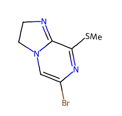 CSC1=NC(Br)=CN2CCN=C12